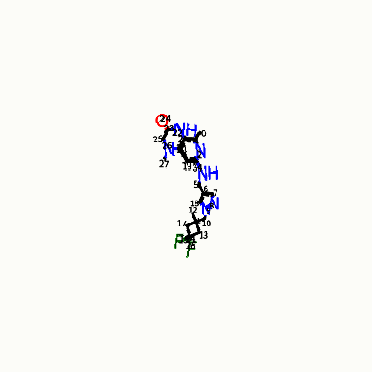 Cc1nc(NCc2cnn(CC3(C)CC(F)(F)C3)c2)cc2c1NC(=O)CN2C